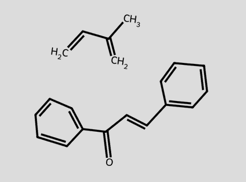 C=CC(=C)C.O=C(C=Cc1ccccc1)c1ccccc1